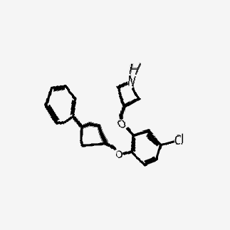 Clc1ccc(OC2CC(c3ccccc3)C2)c(OC2CNC2)c1